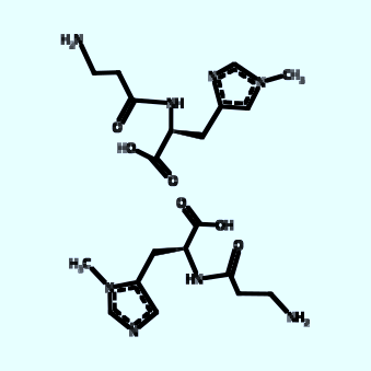 Cn1cnc(C[C@H](NC(=O)CCN)C(=O)O)c1.Cn1cncc1C[C@H](NC(=O)CCN)C(=O)O